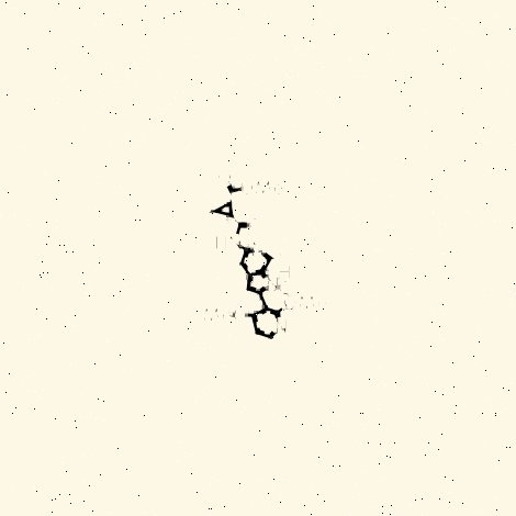 COC(=O)[C@H]1C[C@@H]1C(=O)Nc1cc2cc(-c3c(OC)ccnc3OC)n(C)c2cn1